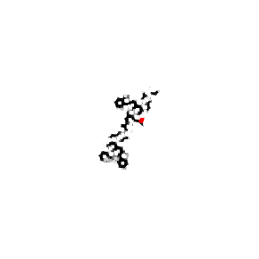 C=CC(=O)N1CC2COc3c(c4cc(F)c(-c5c(O)cccc5F)nc4n(-c4c(C)cc(C(=C)C(=O)N5CC6COc7c(c8cc(F)c(-c9c(O)cccc9F)nc8n(-c8cccnc8C(C)CC)c7=O)N6CC5C)nc4C4CC4)c3=O)N2CC1C